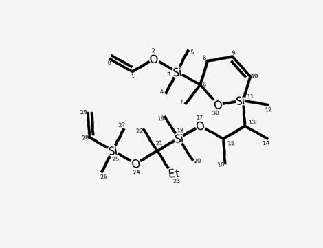 C=CO[Si](C)(C)C1(C)CC=C[Si](C)(C(C)C(C)O[Si](C)(C)C(C)(CC)O[Si](C)(C)C=C)O1